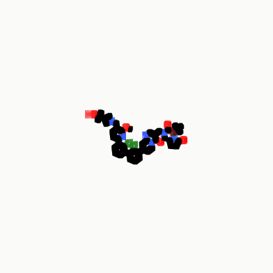 COc1nc(-c2cccc(-c3cccc(-c4ccn5c(=O)c(CN(C[C@@H]6CCC(=O)N6)C(=O)OC(C)(C)C)cnc5c4)c3Cl)c2Cl)ccc1CN1CC(C(C)(C)O)C1